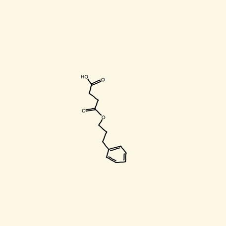 O=C(O)CCC(=O)OCCCc1ccccc1